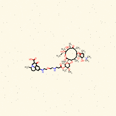 CC[C@H]1OC(=O)[C@H](C)[C@@H](O[C@H]2C[C@@](C)(OC)[C@@H](OC(=O)CCNCCOCCNc3cc4c5c(c3)c(=O)c(C(=O)O)cn5C(C)CC4)[C@H](C)O2)[C@H](C)[C@@H](O[C@@H]2O[C@H](C)C[C@H](N(C)C)[C@H]2O)[C@](C)(OC)C[C@@H](C)C(=O)[C@H](C)[C@@H](O)[C@]1(C)O